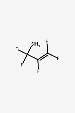 FC(F)=C(F)C(F)(F)[SiH3]